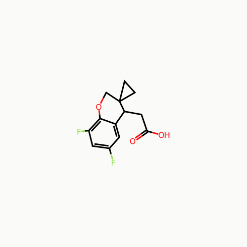 O=C(O)CC1c2cc(F)cc(F)c2OCC12CC2